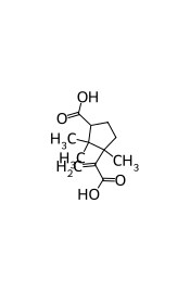 C=C(C(=O)O)C1(C)CCC(C(=O)O)C1(C)C